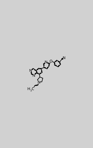 CC=CN1CCC(c2cc(-c3ccc(Oc4cccc(C#N)c4)nc3)cc3cncnc23)C1